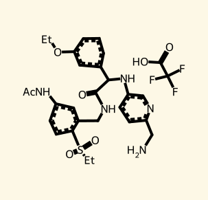 CCOc1cccc(C(Nc2ccc(CN)nc2)C(=O)NCc2cc(NC(C)=O)ccc2S(=O)(=O)CC)c1.O=C(O)C(F)(F)F